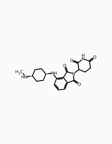 CN[C@H]1CC[C@@H](Nc2cccc3c2C(=O)N(C2CCC(=O)NC2=O)C3=O)CC1